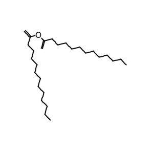 C=C(CCCCCCCCCCCC)OC(=C)CCCCCCCCCCCC